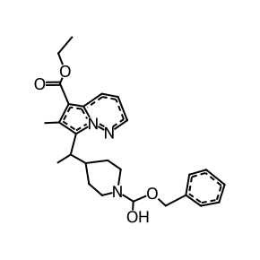 CCOC(=O)c1c(C)c(C(C)C2CCN(C(O)OCc3ccccc3)CC2)n2ncccc12